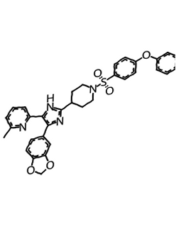 Cc1cccc(-c2[nH]c(C3CCN(S(=O)(=O)c4ccc(Oc5ccccc5)cc4)CC3)nc2-c2ccc3c(c2)OCO3)n1